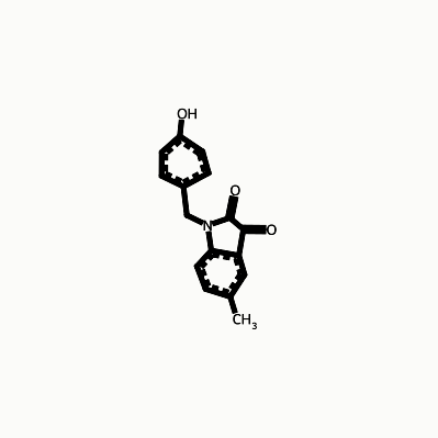 Cc1ccc2c(c1)C(=O)C(=O)N2Cc1ccc(O)cc1